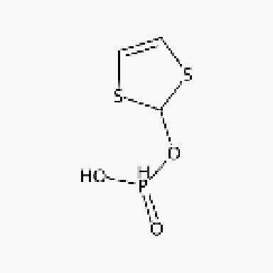 O=[PH](O)OC1SC=CS1